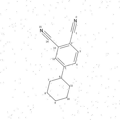 N#Cc1ccc(C2CCCCC2)cc1C#N